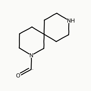 O=[C]N1CCCC2(CCNCC2)C1